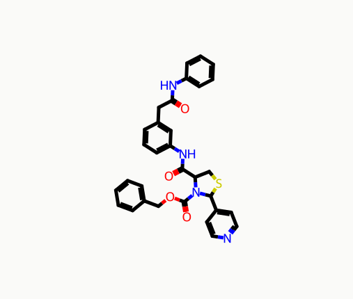 O=C(Cc1cccc(NC(=O)C2CSC(c3ccncc3)N2C(=O)OCc2ccccc2)c1)Nc1ccccc1